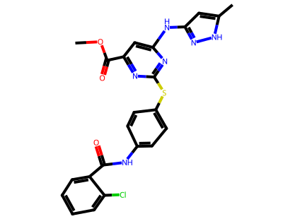 COC(=O)c1cc(Nc2cc(C)[nH]n2)nc(Sc2ccc(NC(=O)c3ccccc3Cl)cc2)n1